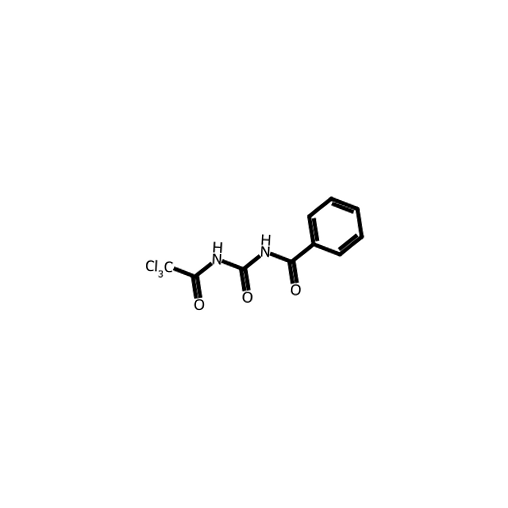 O=C(NC(=O)c1ccccc1)NC(=O)C(Cl)(Cl)Cl